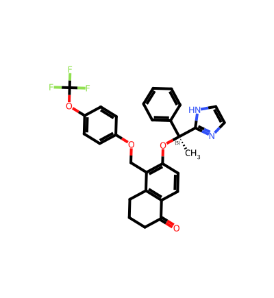 C[C@](Oc1ccc2c(c1COc1ccc(OC(F)(F)F)cc1)CCCC2=O)(c1ccccc1)c1ncc[nH]1